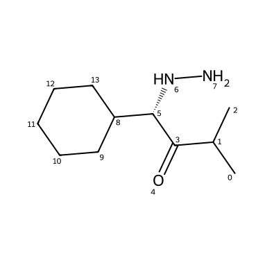 CC(C)C(=O)[C@@H](NN)C1CCCCC1